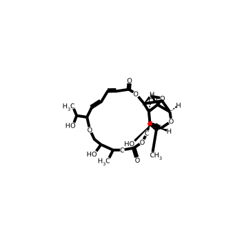 CC1=C[C@H]2O[C@@H]3C[C@H]4OC(=O)/C=C\C=C\C(C(C)O)OCC(O)C(C)CC(=O)OC[C@@]2(C[C@@H]1O)[C@]4(C)[C@@]31CO1